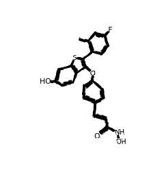 Cc1cc(F)ccc1-c1sc2cc(O)ccc2c1Oc1ccc(C=CC(=O)NO)cc1